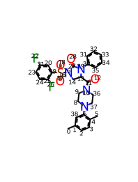 Cc1ccc(C)c(N2CCN(C(=O)C3CN(S(=O)(=O)c4cc(F)ccc4F)C(=O)N3c3ccccc3)CC2)c1